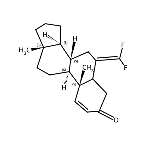 C[C@@]12CCC[C@H]1[C@@H]1CC(=C(F)F)C3CC(=O)C=C[C@]3(C)[C@H]1CC2